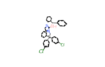 Clc1ccc([Si](Cn2ccnc2BC(c2ccccc2)c2ccccc2)(c2ccccc2)c2ccc(Cl)cc2)cc1